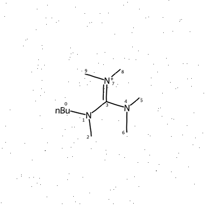 CCCCN(C)C(N(C)C)=[N+](C)C